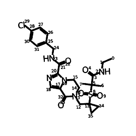 CCNC(=O)C(C)(C)S(=O)(=O)C1(CN2CCn3c(cnc3C(=O)NCc3ccc(Cl)cc3)C2=O)CC1